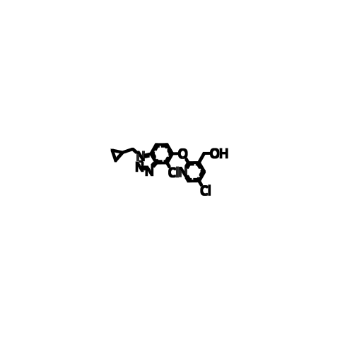 OCc1cc(Cl)cnc1Oc1ccc2c(nnn2CC2CC2)c1Cl